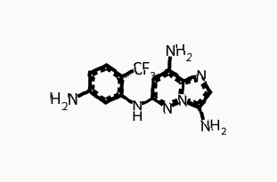 Nc1ccc(C(F)(F)F)c(Nc2cc(N)c3ncc(N)n3n2)c1